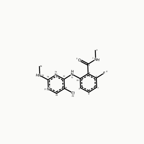 CNC(=O)c1c(F)cccc1Nc1nc(NC)ncc1Cl